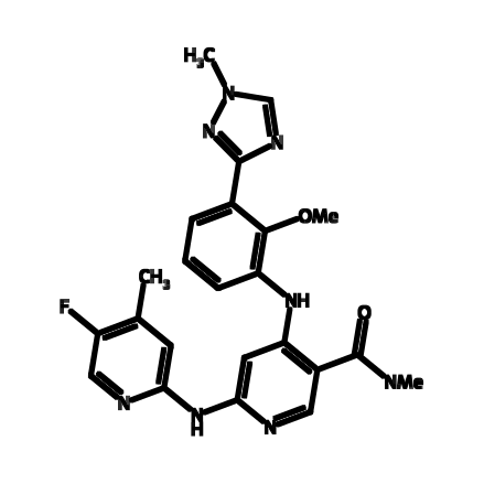 CNC(=O)c1cnc(Nc2cc(C)c(F)cn2)cc1Nc1cccc(-c2ncn(C)n2)c1OC